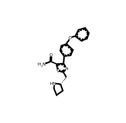 NC(=O)c1sc(C[C@@H]2CCCN2)nc1-c1ccc(Oc2ccccc2)cc1